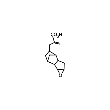 C=C(CC1CC2CC1C1CC3OC3C21)C(=O)O